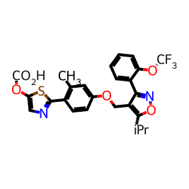 Cc1cc(OCc2c(-c3ccccc3OC(F)(F)F)noc2C(C)C)ccc1-c1ncc(OC(=O)O)s1